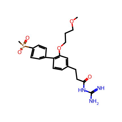 COCCCOc1cc(CCC(=O)NC(=N)N)ccc1-c1ccc(S(C)(=O)=O)cc1